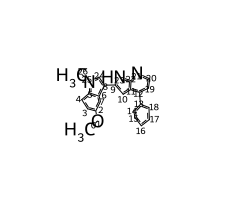 COc1ccc2c(c1)c(-c1cc3c(-c4ccccc4)ccnc3[nH]1)cn2C